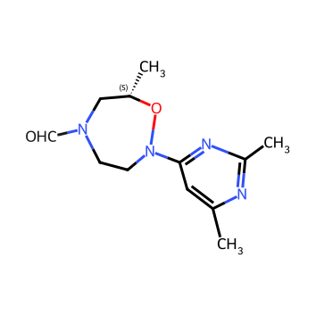 Cc1cc(N2CCN(C=O)C[C@H](C)O2)nc(C)n1